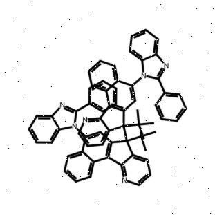 CC(C)(C)C1(C2(C(C)(C)C)c3cccnc3-c3c2cc(-n2c(-c4ccccc4)nc4ccccc42)c2ccccc32)c2cccnc2-c2c1cc(-n1c(-c3ccccc3)nc3ccccc31)c1ccccc21